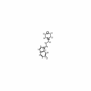 Cc1ccc2ccn(CCCN3CCOCC3)c2c1